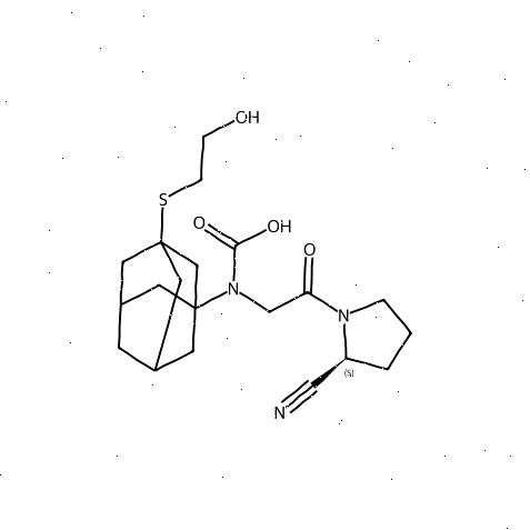 N#C[C@@H]1CCCN1C(=O)CN(C(=O)O)C12CC3CC(CC(SCCO)(C3)C1)C2